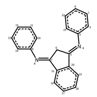 c1ccc(N=C2CC(=Nc3ccccc3)c3ccccc32)cc1